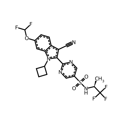 C[C@H](NS(=O)(=O)c1cnc(-c2c(C#N)c3ccc(OC(F)F)cc3n2C2CCC2)nc1)C(F)(F)F